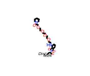 CNC(=O)C(CCC=O)N1C(=O)c2cccc(NCCOCCOCCOCCOCC(=O)N3CCCCC3)c2C1=O